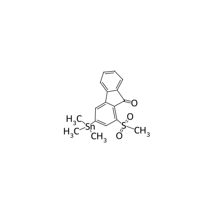 CS(=O)(=O)c1c[c]([Sn]([CH3])([CH3])[CH3])cc2c1C(=O)c1ccccc1-2